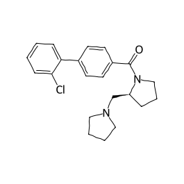 O=C(c1ccc(-c2ccccc2Cl)cc1)N1CCC[C@H]1CN1CCCC1